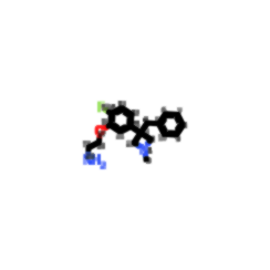 CN1CC(Cc2ccccc2)(c2ccc(F)c(OCCN)c2)C1